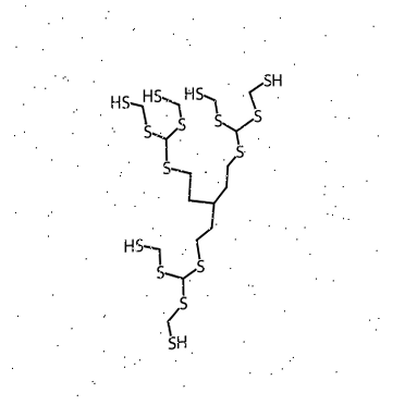 SCSC(SCS)SCCC(CCSC(SCS)SCS)CCSC(SCS)SCS